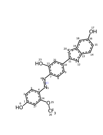 Oc1ccc(/N=N/c2ccc(-c3nc4ccc(O)cc4s3)cc2O)c(OC(F)(F)F)c1